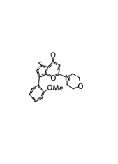 COc1ccccc1-c1csc2c(=O)cc(N3CCOCC3)oc12